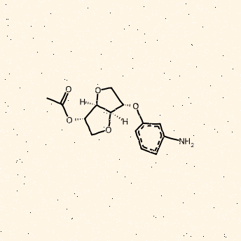 CC(=O)O[C@H]1CO[C@H]2[C@@H]1OC[C@@H]2Oc1cccc(N)c1